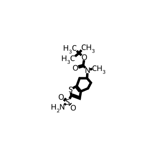 CN(C(=O)OC(C)(C)C)C1CCc2cc(S(N)(=O)=O)sc2C1